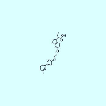 CCC(C(=O)O)[C@@H]1CCc2cc(OCCCOc3ccc(-c4cccc(C)n4)cc3)ccc21